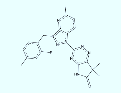 Cc1ccc(Cn2nc(-c3nnc4c(n3)NC(=O)C4(C)C)c3ccc(C)nc32)c(F)c1